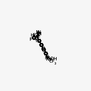 OC(c1cn(-c2ccc(N3CCN(c4ccc(-c5ccc(C(F)(F)C(O)(Cn6cnnn6)c6ccc(F)cc6F)nc5)cc4)CC3)cc2)nn1)C(F)(F)F